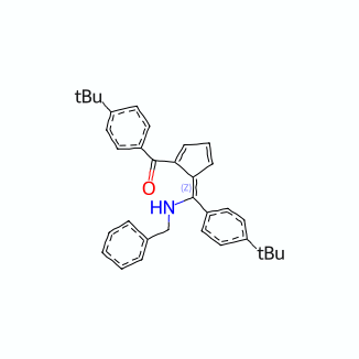 CC(C)(C)c1ccc(C(=O)C2=CC=C/C2=C(/NCc2ccccc2)c2ccc(C(C)(C)C)cc2)cc1